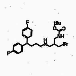 CC(C)CC(CNCCCC(c1ccc(F)cc1)c1ccc(F)cc1)CNC(=O)OC(C)(C)C